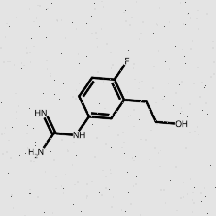 N=C(N)Nc1ccc(F)c(CCO)c1